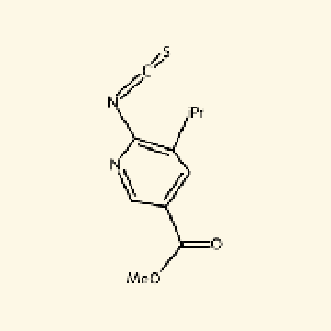 COC(=O)c1cnc(N=C=S)c(C(C)C)c1